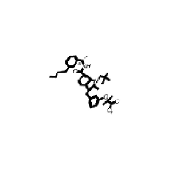 CCCCc1cccc([C@H](C)NC(=O)c2ccc3c(Cc4cccc(OC(C)(C)C(=O)OC)c4)c(C)n(CC(C)(C)C)c3c2)c1